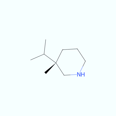 CC(C)[C@]1(C)CCCNC1